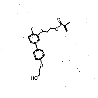 C=C(C)C(=O)OCCOc1cc(-c2ccc(OCCO)cc2)ccc1C